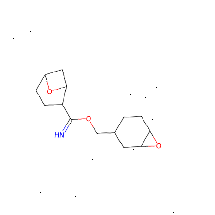 N=C(OCC1CCC2OC2C1)C1CCC2CC1O2